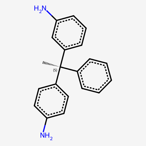 C[C@](c1ccccc1)(c1ccc(N)cc1)c1cccc(N)c1